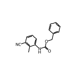 Cc1c(C#N)cccc1NC(=O)OCc1ccccc1